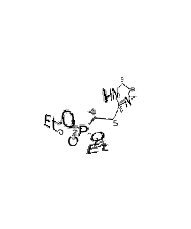 CCOP(=O)(CCC1=NCCN1)OCC